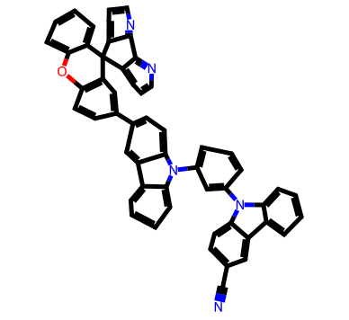 N#Cc1ccc2c(c1)c1ccccc1n2-c1cccc(-n2c3ccccc3c3cc(-c4ccc5c(c4)C4(c6ccccc6O5)c5cccnc5-c5ncccc54)ccc32)c1